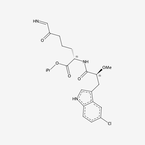 CO[C@@H](Cc1c[nH]c2ccc(Cl)cc12)C(=O)N[C@@H](CCCC(=O)C=N)C(=O)OC(C)C